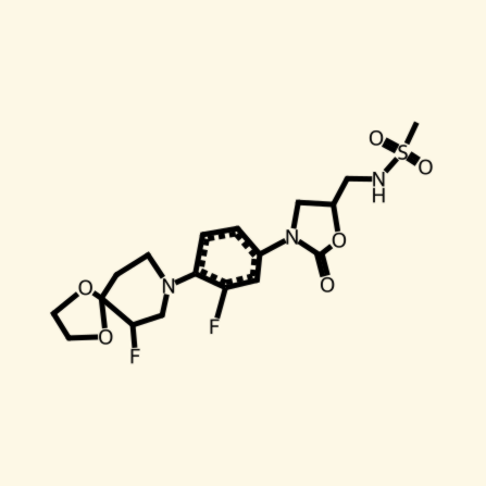 CS(=O)(=O)NCC1CN(c2ccc(N3CCC4(OCCO4)C(F)C3)c(F)c2)C(=O)O1